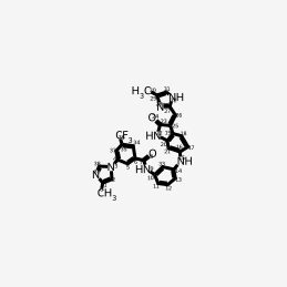 Cc1cn(-c2cc(C(=O)Nc3cccc(Nc4ccc5c(c4)NC(=O)/C5=C\c4nc(C)c[nH]4)c3)cc(C(F)(F)F)c2)cn1